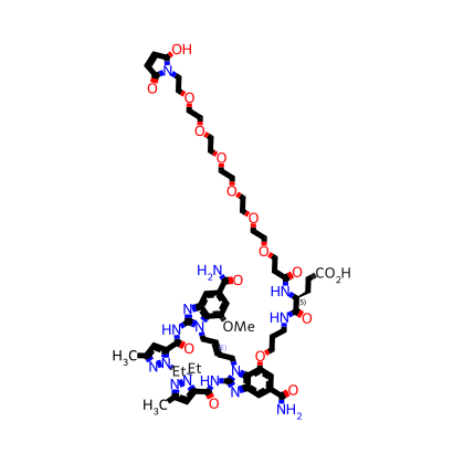 CCn1nc(C)cc1C(=O)Nc1nc2cc(C(N)=O)cc(OC)c2n1C/C=C/Cn1c(NC(=O)c2cc(C)nn2CC)nc2cc(C(N)=O)cc(OCCCNC(=O)[C@H](CCC(=O)O)NC(=O)CCOCCOCCOCCOCCOCCOCCN3C(=O)C=CC3O)c21